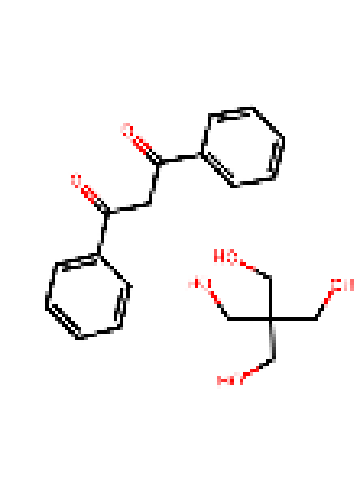 O=C(CC(=O)c1ccccc1)c1ccccc1.OCC(CO)(CO)CO